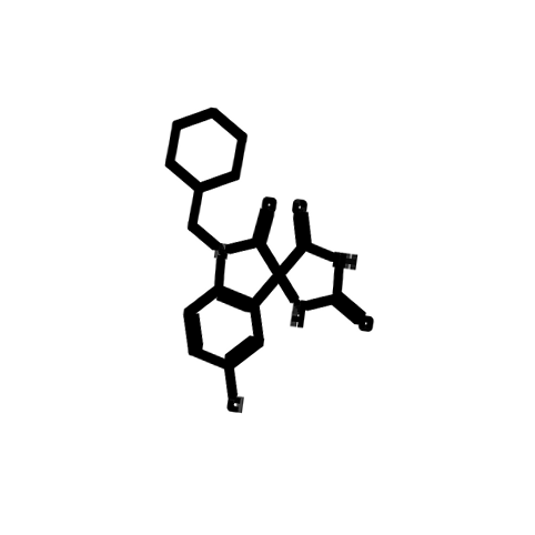 O=C1NC(=O)C2(N1)C(=O)N(CC1CCCCC1)c1ccc(Cl)cc12